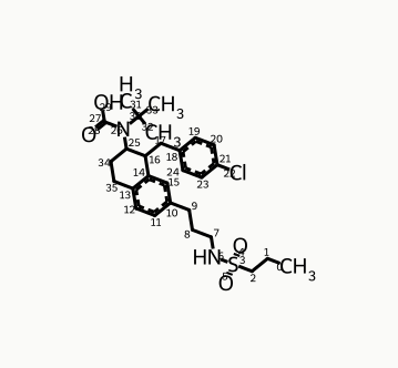 CCCS(=O)(=O)NCCCc1ccc2c(c1)C(Cc1ccc(Cl)cc1)C(N(C(=O)O)C(C)(C)C)CC2